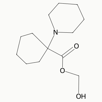 O=C(OCO)C1(N2CCCCC2)CCCCC1